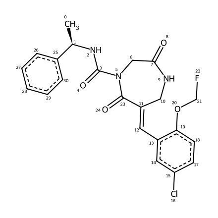 C[C@@H](NC(=O)N1CC(=O)NC/C(=C\c2cc(Cl)ccc2OCF)C1=O)c1ccccc1